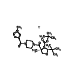 C[n+]1ccn(C(=O)N2CCN(C(=O)[C@]3(C)CO[C@H](C(C)(C)C)N3C(=O)OC(C)(C)C)CC2)c1.[I-]